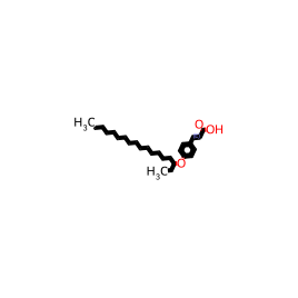 CCCCCCCCCCCCCCCC(CC)Oc1ccc(/C=C/C(=O)O)cc1